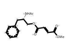 COC(=O)/C=C/C(=O)OC[C@H](Cc1ccccc1)NC(C)=O